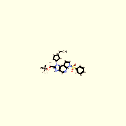 C[C@@H](O[Si](C)(C)C(C)(C)C)c1nc2cnc3c(ccn3S(=O)(=O)c3ccccc3)c2n1[C@H]1CC[C@@H](CC#N)C1